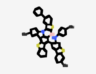 CC(C)(C)c1ccc(Nc2cc3sc4cc(C(C)(C)C)ccc4c3cc2-c2c3c4c(c5cc(C(C)(C)C)ccc5n4-c4c(sc5ccc(-c6ccccc6)cc45)B3)c3sc4ccccc4c23)cc1